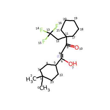 CC1(C)CCC(/C(O)=C/C(=O)C2(CC(F)(F)F)CCCCC2)CC1